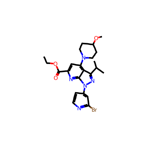 CCOC(=O)c1cc(N2CCC(OC)CC2)c2c(C(C)C)nn(-c3ccnc(Br)c3)c2n1